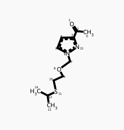 CC(=O)c1ccn(COCCSC(C)C)n1